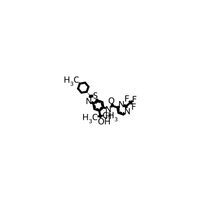 CC(C)(O)c1cc2nc([C@H]3CC[C@H](C)CC3)sc2cc1NC(=O)c1ccnc(C(F)(F)F)n1